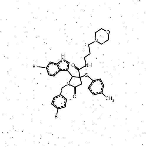 Cc1ccc(SC2(C(=O)NCCCN3CCOCC3)CC(=O)N(Cc3ccc(Br)cc3)C2c2c[nH]c3cc(Br)ccc23)cc1